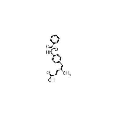 CC(C=CC(=O)O)=Cc1ccc(NS(=O)(=O)c2ccccc2)cc1